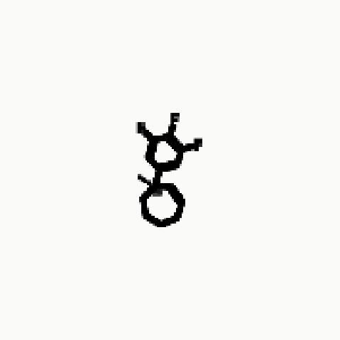 C[C@]1(c2cc(F)c(F)c(F)c2)C=CCCCC1